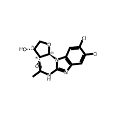 CC(C)Nc1nc2cc(Cl)c(Cl)cc2n1[C@@H]1OC[C@@H](O)[C@H]1O